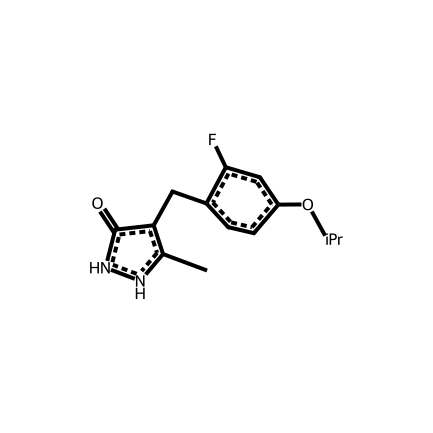 Cc1[nH][nH]c(=O)c1Cc1ccc(OC(C)C)cc1F